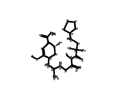 CCC1=CC(C(=O)O)[C@H](F)CC1NC(N)NCC(=N)N(C)C(=O)C(F)(F)CNC1CCCC1